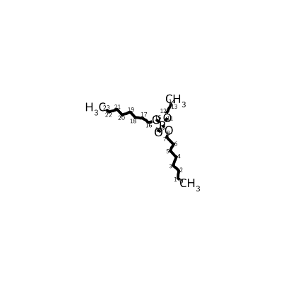 CCCCCCCCOP(=O)(OCCC)OCCCCCCCC